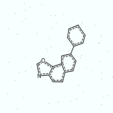 c1ccc(-c2ccc3ccc4ncoc4c3c2)cc1